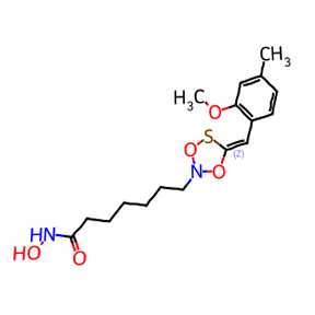 COc1cc(C)ccc1/C=C1/ON(CCCCCCC(=O)NO)OS1